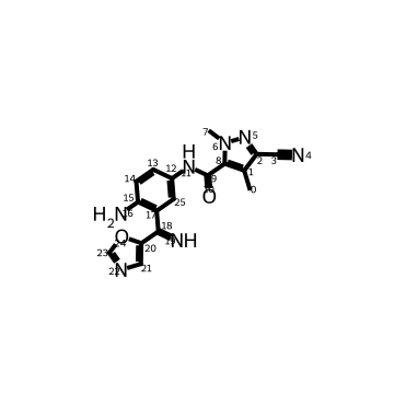 Cc1c(C#N)nn(C)c1C(=O)Nc1ccc(N)c(C(=N)c2cnco2)c1